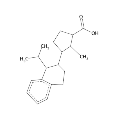 CC(C)C1c2ccccc2CCC1C1CCC(C(=O)O)C1C